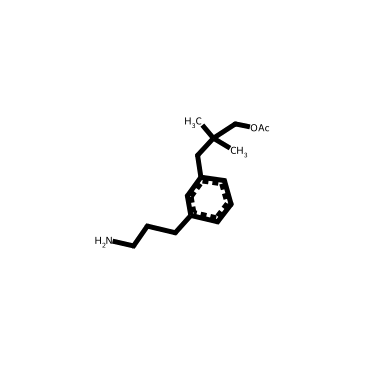 CC(=O)OCC(C)(C)Cc1cccc(CCCN)c1